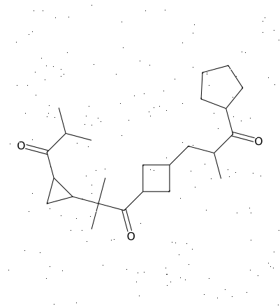 CC(C)C(=O)C1CC1C(C)(C)C(=O)C1CC(CC(C)C(=O)C2CCCC2)C1